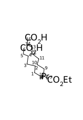 CC(C)CCCCCC(=O)O.CCOC(=O)CCCCCCCC(=O)O